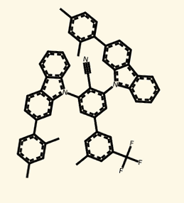 Cc1cc(-c2cc(-n3c4ccccc4c4ccc(-c5ccc(C)cc5C)cc43)c(C#N)c(-n3c4ccccc4c4ccc(-c5ccc(C)cc5C)cc43)c2)cc(C(F)(F)F)c1